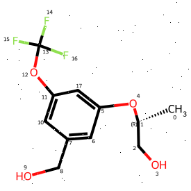 C[C@H](CO)Oc1cc(CO)cc(OC(F)(F)F)c1